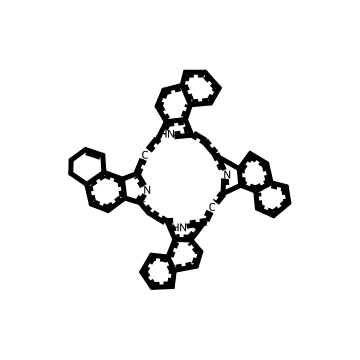 C1=Cc2c(ccc3c2-c2cc4[nH]c(cc5nc(cc6[nH]c(cc-3n2)c2c3ccccc3ccc62)-c2c-5ccc3ccccc23)c2c3ccccc3ccc42)CC1